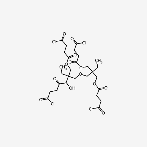 CCC(COCC(CC)(COC(=O)CCC(=O)Cl)C(O)C(=O)CCC(=O)Cl)(COC(=O)CCC(=O)Cl)COC(=O)CCC(=O)Cl